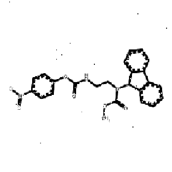 COC(=O)N(CCNC(=O)Oc1ccc([N+](=O)[O-])cc1)C1c2ccccc2-c2ccccc21